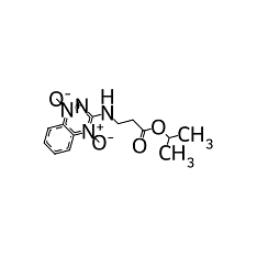 CC(C)OC(=O)CCNc1n[n+]([O-])c2ccccc2[n+]1[O-]